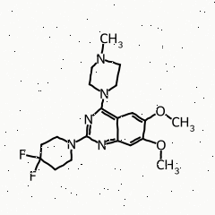 COc1cc2nc(N3CCC(F)(F)CC3)nc(N3CCN(C)CC3)c2cc1OC